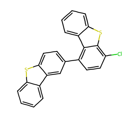 Clc1ccc(-c2ccc3sc4ccccc4c3c2)c2c1sc1ccccc12